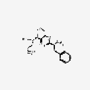 N[C@@H](Cc1ccccc1)C(=O)N[C@@H](CO)C(=O)N[C@@H](CCC(=O)O)C(=O)O